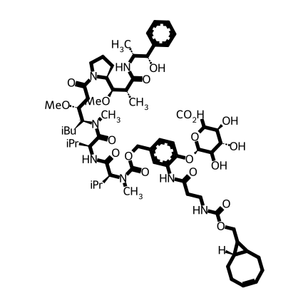 CC[C@H](C)[C@@H]([C@@H](CC(=O)N1CCC[C@H]1[C@H](OC)[C@@H](C)C(=O)N[C@H](C)[C@@H](O)c1ccccc1)OC)N(C)C(=O)[C@@H](NC(=O)[C@H](C(C)C)N(C)C(=O)OCc1ccc(O[C@@H]2OC(C(=O)O)[C@@H](O)[C@H](O)C2O)c(NC(=O)CCNC(=O)OCC2C3CC/C=C\CC[C@@H]32)c1)C(C)C